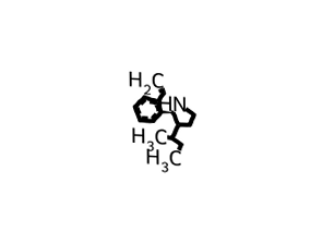 C=Cc1ccccc1[C@H]1NCCC1C(C)CC